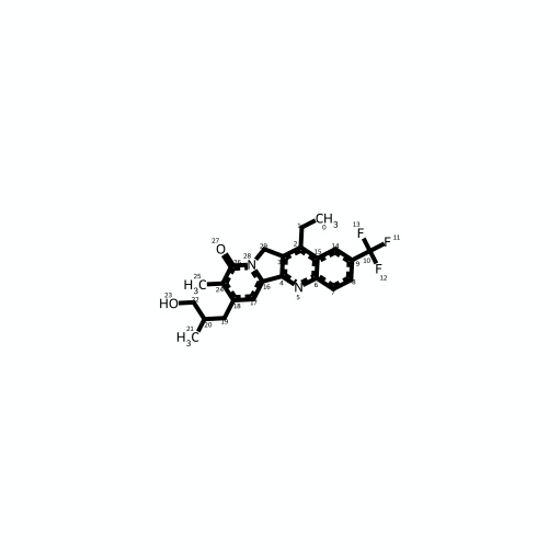 CCc1c2c(nc3ccc(C(F)(F)F)cc13)-c1cc(CC(C)CO)c(C)c(=O)n1C2